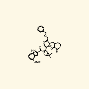 COc1cccc2[nH]c(C(=O)N3CC4C(C3C(=O)NC(CC3CCCNC3=O)C(=O)COCc3ccccc3)C4(C)C)cc12